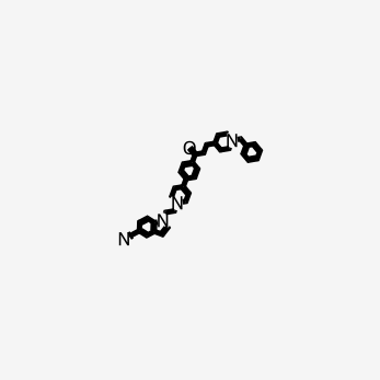 N#Cc1ccc2c(ccn2CCN2CC=C(c3ccc(C(=O)CCC4CCN(Cc5ccccc5)CC4)cc3)CC2)c1